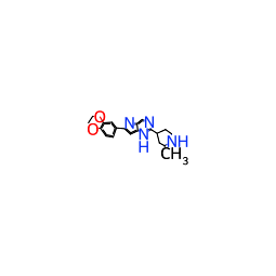 CC1CC(c2ncc3nc(-c4ccc5c(c4)OCCO5)cc-3[nH]2)CCN1